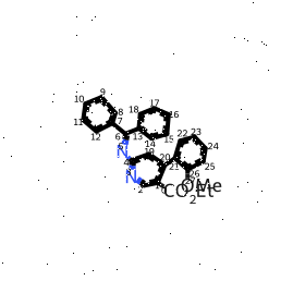 CCOC(=O)c1cnc(N=C(c2ccccc2)c2ccccc2)cc1-c1ccccc1OC